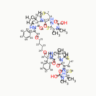 CC(C(=S)N[C@H]1CCS[C@H]2CC(C)(C)[C@@H](C(=O)NC(COCCCCOCC(NC(=O)[C@H]3N4C(=O)[C@@H](NC(=S)C(C)N(C)C(=O)O)CCS[C@H]4CC3(C)C)c3ccccc3)c3ccccc3)N2C1=O)N(C)C(=O)O